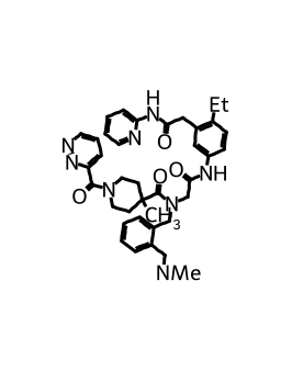 CCc1ccc(NC(=O)CN(Cc2ccccc2CNC)C(=O)C2(C)CCN(C(=O)c3cccnn3)CC2)cc1CC(=O)Nc1ccccn1